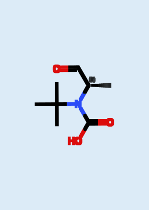 C[C@@H](C=O)N(C(=O)O)C(C)(C)C